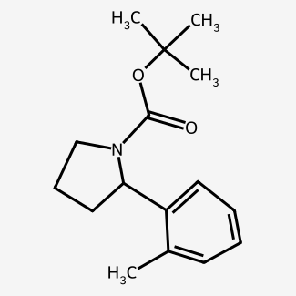 Cc1ccccc1C1CCCN1C(=O)OC(C)(C)C